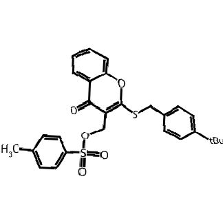 Cc1ccc(S(=O)(=O)OCc2c(SCc3ccc(C(C)(C)C)cc3)oc3ccccc3c2=O)cc1